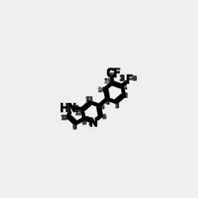 Fc1ccc(-c2cnc3cc[nH]c3c2)cc1C(F)(F)F